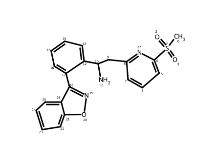 CS(=O)(=O)c1cccc(CC(N)c2ccccc2-c2noc3ccccc23)n1